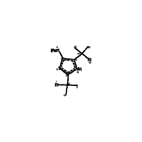 CCCC(C)c1nc(C(C)(C)CC)[nH]c1C(C)(C)CC